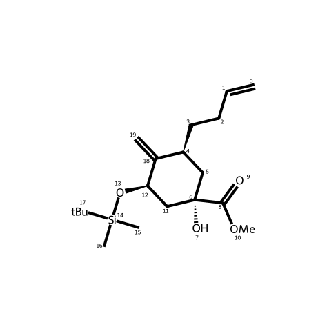 C=CCC[C@H]1C[C@@](O)(C(=O)OC)C[C@@H](O[Si](C)(C)C(C)(C)C)C1=C